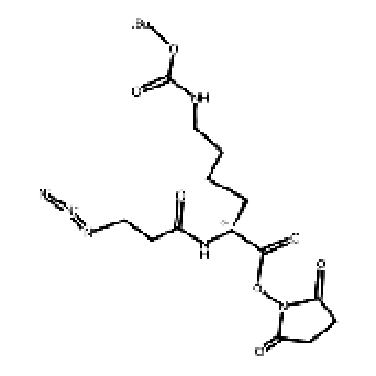 CC(C)(C)OC(=O)NCCCC[C@H](NC(=O)CCN=[N+]=[N-])C(=O)ON1C(=O)CCC1=O